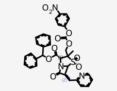 CC1(COC(=O)Oc2ccc([N+](=O)[O-])cc2)[C@H](C(=O)OC(c2ccccc2)c2ccccc2)N2C(=O)/C(=C/c3ccccn3)C2S1(=O)=O